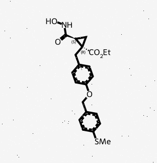 CCOC(=O)[C@@]1(Cc2ccc(OCc3ccc(SC)cc3)cc2)C[C@@H]1C(=O)NO